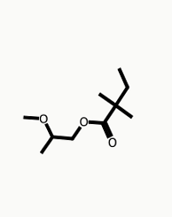 CCC(C)(C)C(=O)OCC(C)OC